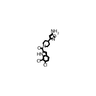 Nc1cc(C2CCN(C(=O)c3cc4ccc(Cl)c(Cl)c4[nH]3)CC2)no1